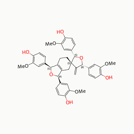 C=C1[C@@H](c2ccc(O)c(OC)c2)O[C@@H](c2ccc(O)c(OC)c2)[C@]12CCC1=C(C2)[C@@H](c2ccc(O)c(OC)c2)O[C@H]1c1ccc(O)c(OC)c1